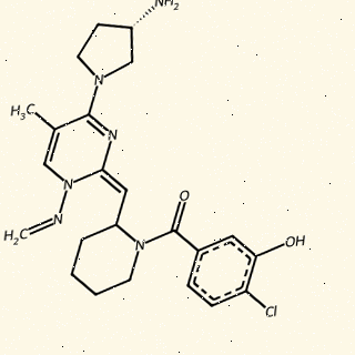 C=NN1C=C(C)C(N2CC[C@H](N)C2)=N/C1=C/C1CCCCN1C(=O)c1ccc(Cl)c(O)c1